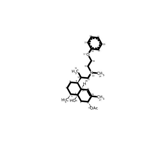 CC(=O)O[C@@H]1[CH][C@@]2(O)[C@H](C)CC[C@@H](C(C)CN(C)CCOc3ccccc3)[C@H]2C=C1C